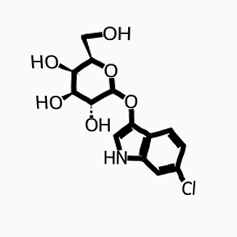 OC[C@H]1OC(Oc2c[nH]c3cc(Cl)ccc23)[C@H](O)[C@@H](O)[C@H]1O